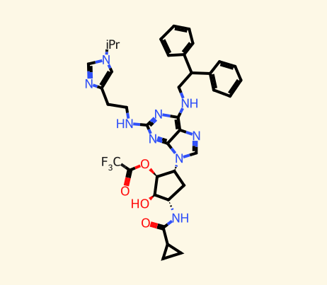 CC(C)n1cnc(CCNc2nc(NCC(c3ccccc3)c3ccccc3)c3ncn([C@@H]4C[C@H](NC(=O)C5CC5)[C@@H](O)[C@H]4OC(=O)C(F)(F)F)c3n2)c1